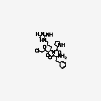 N=C(N)NCCCC(C(=O)C(=O)CCl)N(C(=O)C(N)Cc1ccccc1)C(=O)C1CCCN1